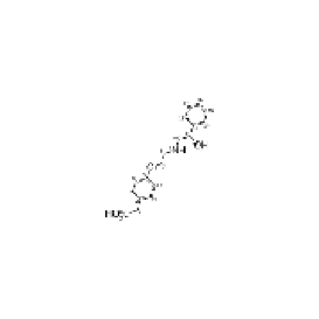 O=C(O)Cc1ccc(OCCNCC(O)c2ccccc2)cc1